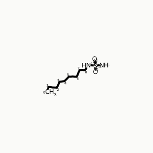 CCCCCCCCCNS([NH])(=O)=O